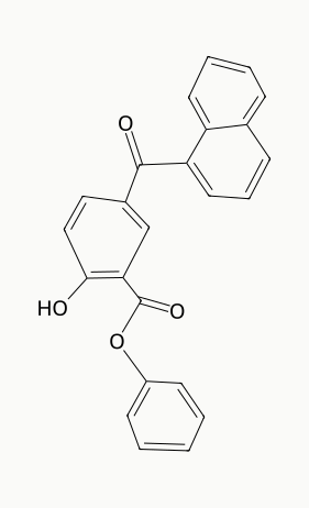 O=C(Oc1ccccc1)c1cc(C(=O)c2cccc3ccccc23)ccc1O